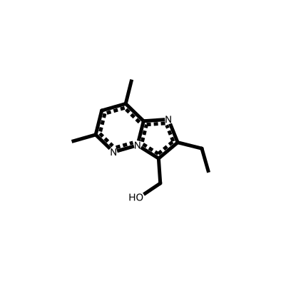 CCc1nc2c(C)cc(C)nn2c1CO